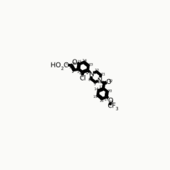 O=C(O)c1cc2c(Cl)c(N3CCN(C(=O)c4cccc(OC(F)(F)F)c4)CC3)ccc2o1